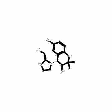 CC1(C)Oc2ccc(C#N)cc2[C@@H](N2CCSC2=NC#N)C1O